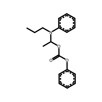 CCCN(c1ccccc1)C(C)OC(=O)Oc1ccccc1